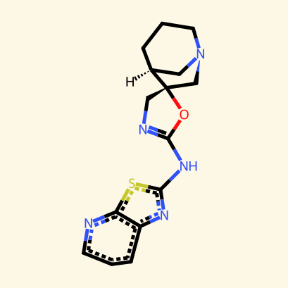 c1cnc2sc(NC3=NC[C@@]4(C[N@]5CCC[C@H]4C5)O3)nc2c1